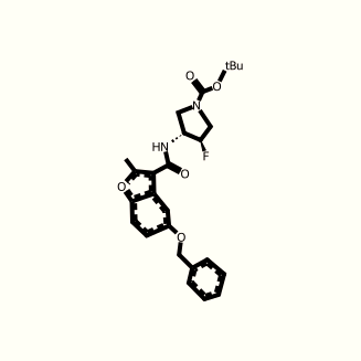 Cc1oc2ccc(OCc3ccccc3)cc2c1C(=O)N[C@@H]1CN(C(=O)OC(C)(C)C)C[C@H]1F